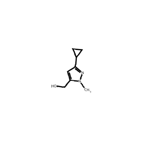 Cn1nc(C2CC2)cc1CO